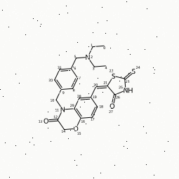 CCN(CC)Cc1ccc(CN2C(=O)COc3ccc(/C=C4/SC(=S)NC4=O)cc32)cc1